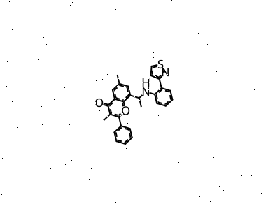 Cc1cc(C(C)Nc2ccccc2-c2ccsn2)c2oc(-c3ccccc3)c(C)c(=O)c2c1